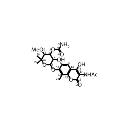 COC1C(OC(N)=O)C(O)C(Oc2ccc3c(O)c(NC(C)=O)c(=O)oc3c2C)OC1(C)C